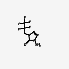 Nn1nnn(CC(F)(F)C(F)(F)F)c1=O